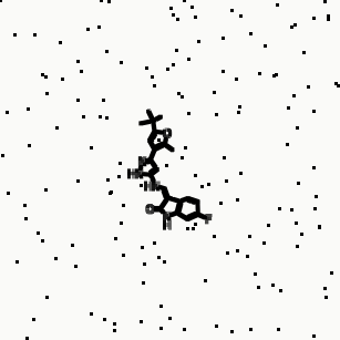 Cc1oc(C(C)(C)C)cc1-c1cc(NC=C2C(=O)Nc3cc(F)ccc32)[nH]n1